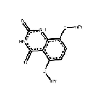 CCCOc1ccc(OCCC)c2c(=O)[nH]c(=O)[nH]c12